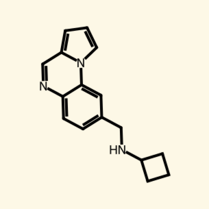 c1cc2cnc3ccc(CNC4CCC4)cc3n2c1